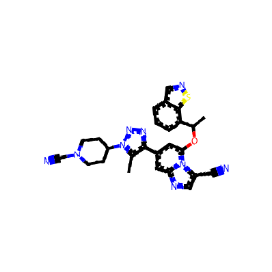 Cc1c(-c2cc(OC(C)c3cccc4cnsc34)n3c(C#N)cnc3c2)nnn1C1CCN(C#N)CC1